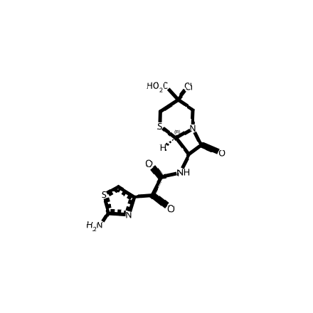 Nc1nc(C(=O)C(=O)NC2C(=O)N3CC(Cl)(C(=O)O)CS[C@H]23)cs1